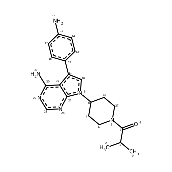 CC(C)C(=O)N1CCC(n2cc(-c3ccc(N)cc3)c3c(N)ncnc32)CC1